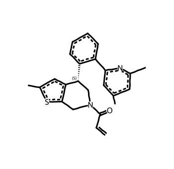 C=CC(=O)N1Cc2sc(C)cc2[C@H](c2ccccc2-c2cc(C)cc(C)n2)C1